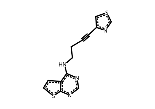 C(#Cc1cscn1)CCNc1ncnc2sccc12